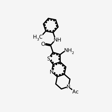 CC(=O)N1CCc2nc3sc(C(=O)Nc4ccccc4C)c(N)c3cc2C1